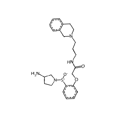 NC1CCN([S+]([O-])c2ccccc2OCC(=O)NCCCN2CCc3ccccc3C2)C1